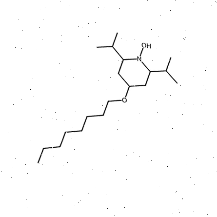 CCCCCCCCOC1CC(C(C)C)N(O)C(C(C)C)C1